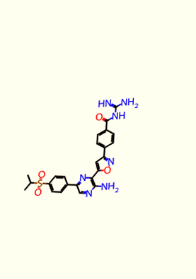 CC(C)S(=O)(=O)c1ccc(-c2cnc(N)c(-c3cc(-c4ccc(C(=O)NC(=N)N)cc4)no3)n2)cc1